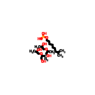 CC(C)CCCCCCCOP(O)O.CC(O)COC(C)CO.CC(O)COC(C)CO